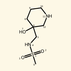 CS(=O)(=O)NCC1(O)CCCNC1